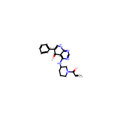 C=CC(=O)N1CCCC(Nc2ncnc3[nH]cc(-c4ccccc4)c(=O)c23)C1